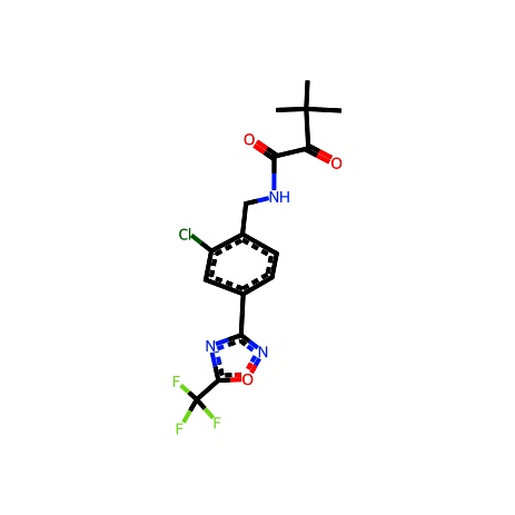 CC(C)(C)C(=O)C(=O)NCc1ccc(-c2noc(C(F)(F)F)n2)cc1Cl